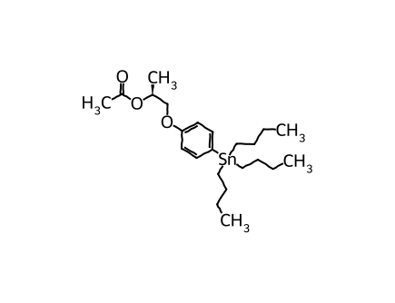 CCC[CH2][Sn]([CH2]CCC)([CH2]CCC)[c]1ccc(OC[C@H](C)OC(C)=O)cc1